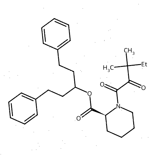 CCC(C)(C)C(=O)C(=O)N1CCCC[C@H]1C(=O)OC(CCc1ccccc1)CCc1ccccc1